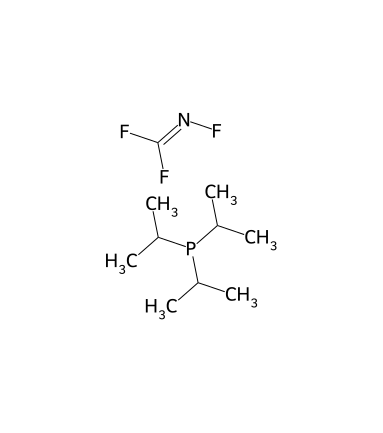 CC(C)P(C(C)C)C(C)C.FN=C(F)F